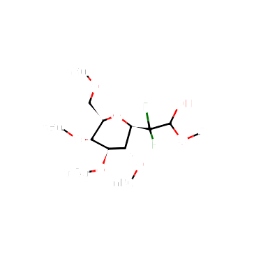 CCCCOC[C@H]1O[C@@H](C(F)(F)C(O)OCC)[C@H](OCCCC)[C@@H](OCCCC)[C@@H]1OCCCC